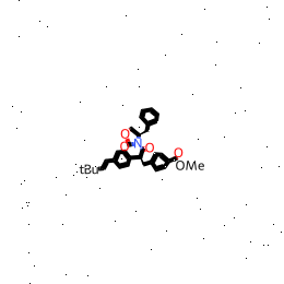 COC(=O)c1ccc(C[C@H](C(=O)N2C(=O)OC[C@H]2Cc2ccccc2)c2ccc(/C=C/C(C)(C)C)cc2)cc1